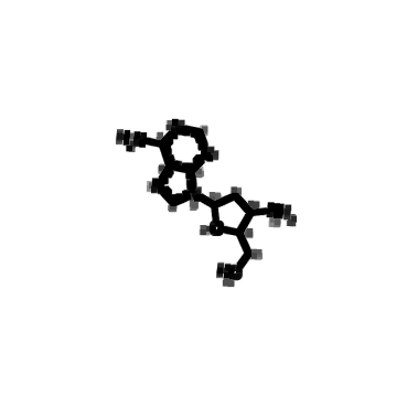 Nc1ncnc2c1ncn2C1CC(N)C(CO)O1